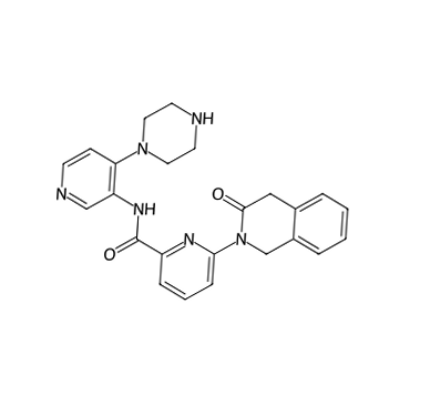 O=C(Nc1cnccc1N1CCNCC1)c1cccc(N2Cc3ccccc3CC2=O)n1